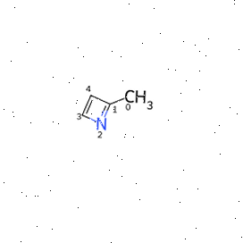 CC1=NC=C1